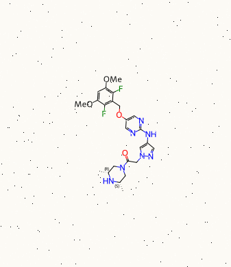 COc1cc(OC)c(F)c(COc2cnc(Nc3cnn(CC(=O)N4C[C@@H](C)N[C@@H](C)C4)c3)nc2)c1F